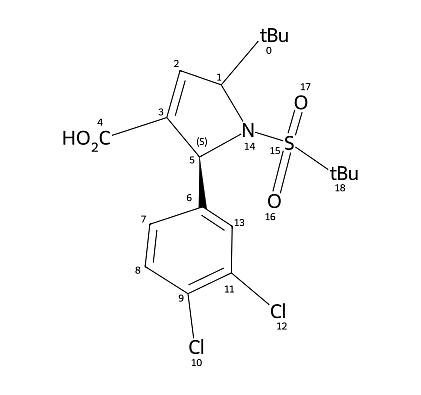 CC(C)(C)C1C=C(C(=O)O)[C@H](c2ccc(Cl)c(Cl)c2)N1S(=O)(=O)C(C)(C)C